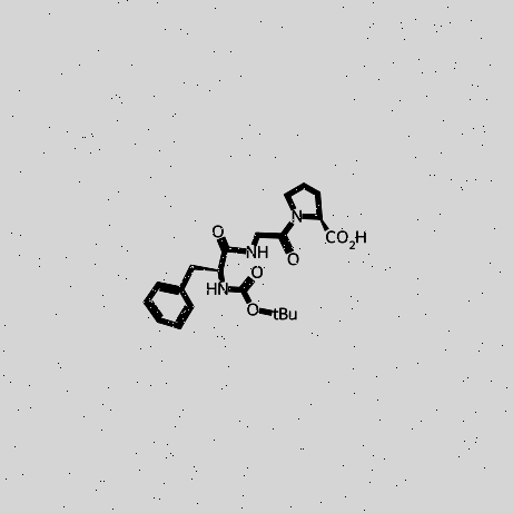 CC(C)(C)OC(=O)N[C@@H](Cc1ccccc1)C(=O)NCC(=O)N1CCC[C@H]1C(=O)O